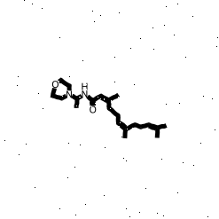 CC(C)=CCCC(C)=CCCC(C)=CC(=O)NC(C)N1CCOCC1